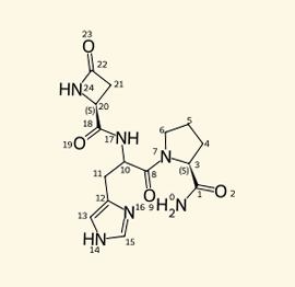 NC(=O)[C@@H]1CCCN1C(=O)C(Cc1c[nH]cn1)NC(=O)[C@@H]1CC(=O)N1